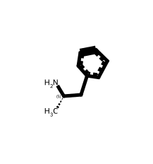 C[C@H](N)Cc1cc#ccc1